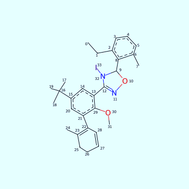 CCc1cccc(C)c1C1ON=C(c2cc(C(C)(C)C)cc(C3=C(C)CCC=C3)c2OC)N1I